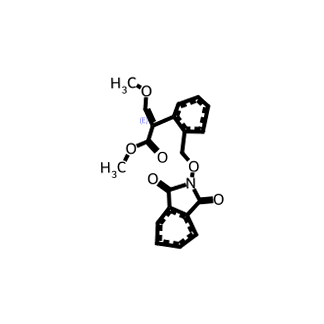 CO/C=C(/C(=O)OC)c1ccccc1CON1C(=O)c2ccccc2C1=O